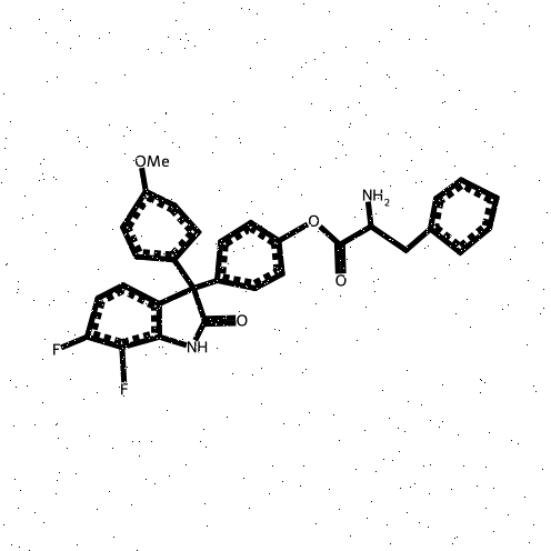 COc1ccc(C2(c3ccc(OC(=O)C(N)Cc4ccccc4)cc3)C(=O)Nc3c2ccc(F)c3F)cc1